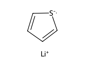 C1=C[S-]C=C1.[Li+]